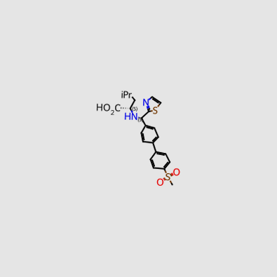 CC(C)C[C@H](N[C@@H](c1ccc(-c2ccc(S(C)(=O)=O)cc2)cc1)c1nccs1)C(=O)O